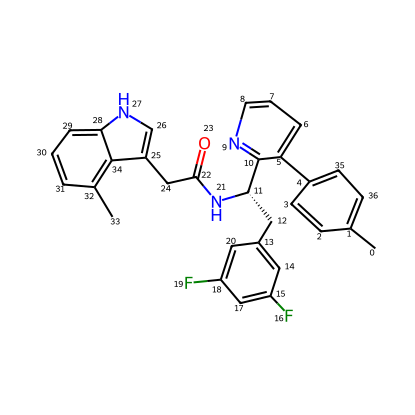 Cc1ccc(-c2cccnc2[C@H](Cc2cc(F)cc(F)c2)NC(=O)Cc2c[nH]c3cccc(C)c23)cc1